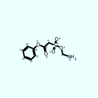 NCOS(=O)(=O)CC(=O)Oc1ccccc1